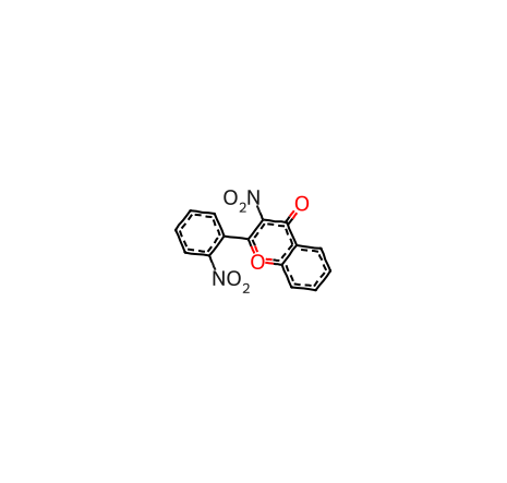 O=c1c([N+](=O)[O-])c(-c2ccccc2[N+](=O)[O-])oc2ccccc12